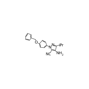 CC(C)c1nn(-c2ccc(OCc3ccccc3)cc2)c(C#N)c1N